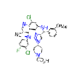 COc1cccc(C(Nc2cc(Cl)c3ncc(C#N)c(Nc4ccc(F)c(Cl)c4)c3c2)c2cn(C3CCN(C(=O)O)CC3)nn2)c1